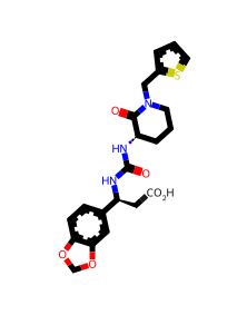 O=C(O)C[C@H](NC(=O)N[C@H]1CCCN(Cc2cccs2)C1=O)c1ccc2c(c1)OCO2